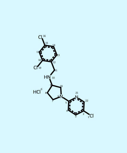 Cl.Clc1ccc(N2CCC(NCc3ccc(Cl)cc3Cl)C2)nc1